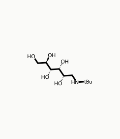 CC(C)(C)NC[C@H](O)[C@@H](O)[C@H](O)[C@H](O)CO